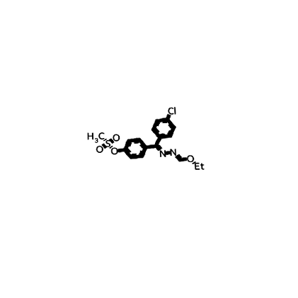 CCO/C=N/N=C(\c1ccc(Cl)cc1)c1ccc(OS(C)(=O)=O)cc1